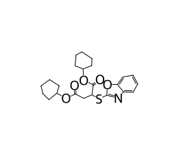 O=C(CC(Sc1nc2ccccc2o1)C(=O)OC1CCCCC1)OC1CCCCC1